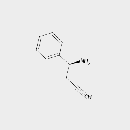 C#CC[C@H](N)c1ccccc1